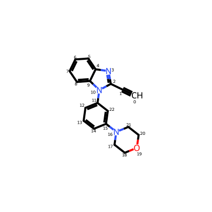 C#Cc1nc2ccccc2n1-c1cccc(N2CCOCC2)c1